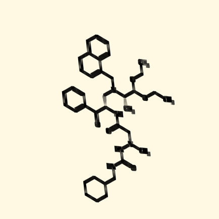 CCOC(OCC)[C@H](C)N(Cc1cccc2ccccc12)C[C@H](NC(=O)CN(C)NC(=O)NCC1CCCCC1)C(=O)c1ccccc1